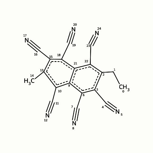 CCc1c(C#N)c(C#N)c2c(C#N)c(C)c(C#N)c(C#N)c2c1C#N